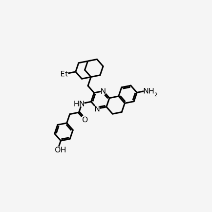 CCC1CC2CCCC(Cc3nc4c(nc3NC(=O)Cc3ccc(O)cc3)CCc3cc(N)ccc3-4)(C1)C2